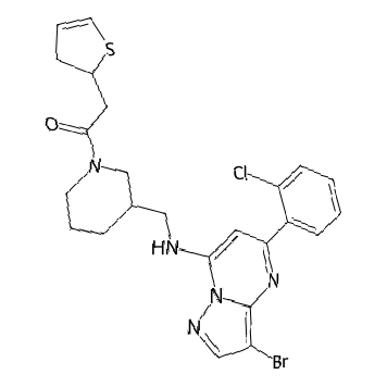 O=C(CC1CC=CS1)N1CCCC(CNc2cc(-c3ccccc3Cl)nc3c(Br)cnn23)C1